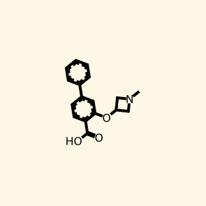 CN1CC(Oc2cc(-c3ccccc3)ccc2C(=O)O)C1